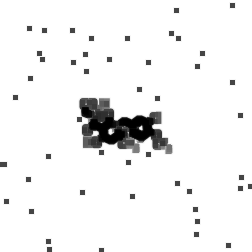 CC1(C)CC(O)=C(C(=O)NCC(=O)O)C(=O)N1Cc1ccc(OC(F)(F)F)c(Cl)c1